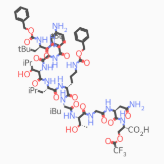 CC[C@H](C)[C@H](NC(=O)[C@@H](CCCNC(=O)OCc1ccccc1)NC(=O)[C@H](CC(C)C)NC(=O)[C@@H](NC(=O)[C@H](Cc1cccc(N)c1)NC(=O)[C@H](CC(C)(C)C)NC(=O)[C@@H](CC(C)(C)C)NC(=O)OCc1ccccc1)C(O)C(C)C)C(=O)N[C@H](C(=O)NCC(=O)N[C@@H](CC(N)=O)C(=O)N[C@@H](COC(=O)C(F)(F)F)C(=O)O)[C@H](C)O